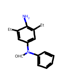 CCc1cc(N(C=O)c2ccccc2)cc(CC)c1N